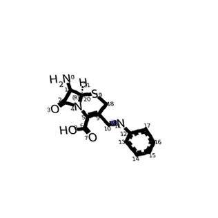 NC1C(=O)N2C(C(=O)O)=C(/C=N/c3ccccc3)CS[C@H]12